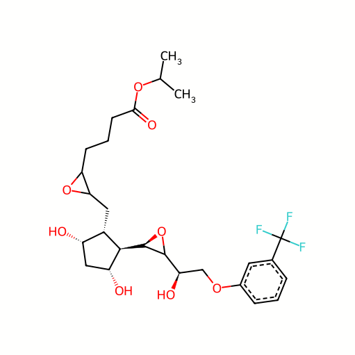 CC(C)OC(=O)CCCC1OC1C[C@@H]1[C@@H]([C@H]2OC2[C@H](O)COc2cccc(C(F)(F)F)c2)[C@H](O)C[C@@H]1O